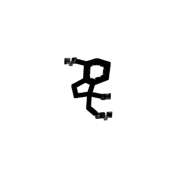 Cc1cccc2c1CCC2(O)CC(=O)O